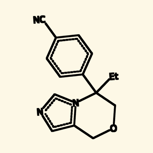 CCC1(c2ccc(C#N)cc2)COCc2cncn21